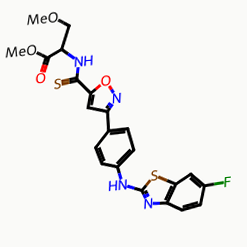 COCC(NC(=S)c1cc(-c2ccc(Nc3nc4ccc(F)cc4s3)cc2)no1)C(=O)OC